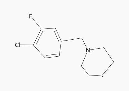 Fc1cc(CN2CC[CH]CC2)ccc1Cl